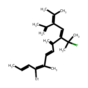 C=C(C)C(/C=C(\C(=C)/C=C/C(C)=C(\C=C\C)CC)C(C)(C)F)=C(C)C